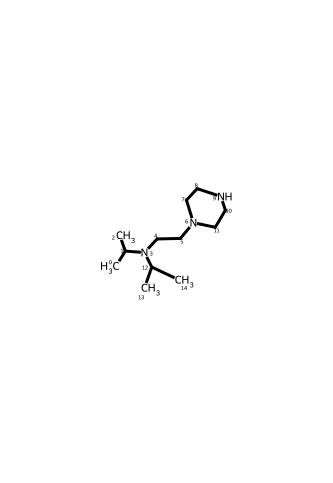 CC(C)N(CCN1CCNCC1)C(C)C